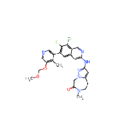 COCOc1cncc(-c2cc3cc(Nc4cc5n(n4)CC(=O)N(C)CC5)ncc3c(Cl)c2F)c1C